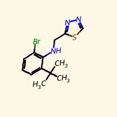 CC(C)(C)c1cccc(Br)c1NCc1nncs1